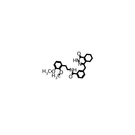 COc1cccc(CCNC(=O)c2cccc(Cc3n[nH]c(=O)c4c3CCCC4)c2)c1OC